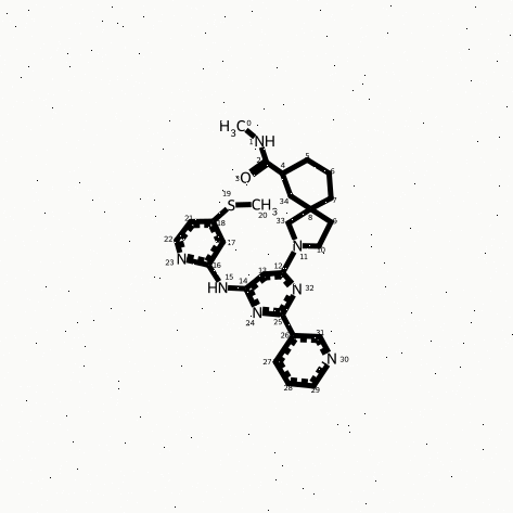 CNC(=O)C1CCCC2(CCN(c3cc(Nc4cc(SC)ccn4)nc(-c4cccnc4)n3)C2)C1